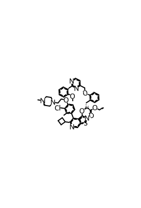 CCOC(=O)[C@@H](Cc1ccccc1OCc1ccnc(-c2ccccc2OC)n1)Oc1nsc2cnc(C3CCC3)c(-c3ccc(OCCN4CCN(C)CC4)c(Cl)c3C)c12